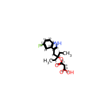 CCC(CC)(Cc1c[nH]c2ccc(F)cc12)OC(=O)CC(=O)O